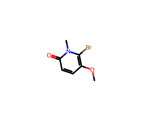 COc1ccc(=O)n(C)c1Br